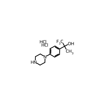 CC(O)(c1ccc(N2CCNCC2)cc1)C(F)(F)F.Cl.Cl